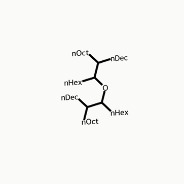 CCCCCCCCCCC(CCCCCCCC)C(CCCCCC)OC(CCCCCC)C(CCCCCCCC)CCCCCCCCCC